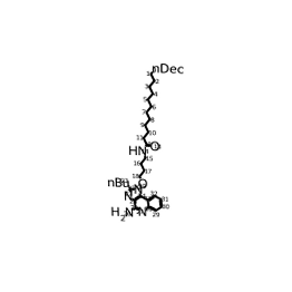 CCCCCCCCCCCCCCCCCCCCCC(=O)NCCCCOn1c(CCCC)nc2c(N)nc3ccccc3c21